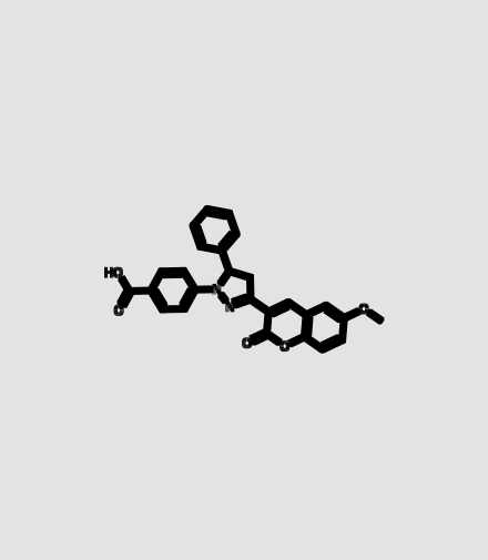 COc1ccc2oc(=O)c(C3=NN(c4ccc(C(=O)O)cc4)C(c4ccccc4)C3)cc2c1